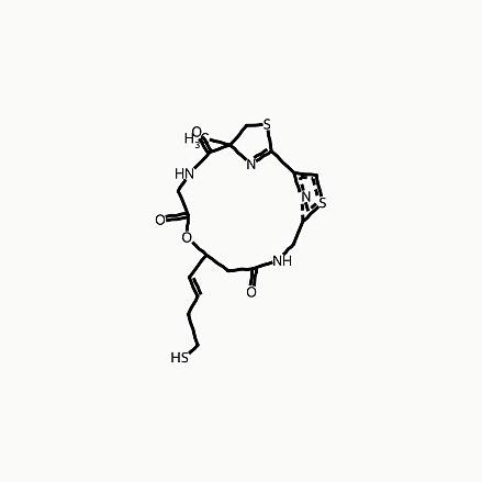 CC12CSC(=N1)c1csc(n1)CNC(=O)CC(/C=C/CCS)OC(=O)CNC2=O